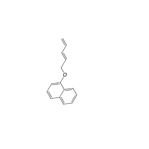 C=CC=CCOc1cccc2ccccc12